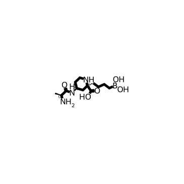 C[C@H](N)C(=O)N[C@H]1CCN[C@@](CCCCB(O)O)(C(=O)O)C1